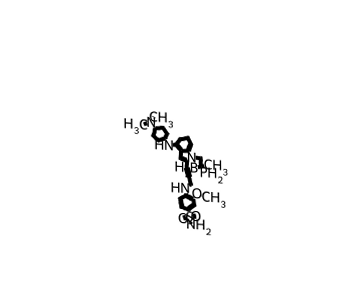 BC(C)(P)Cn1c(C#CCNc2ccc(S(N)(=O)=O)cc2OC)cc2c1=CCCC=2NC1CCC(N(C)C)CC1